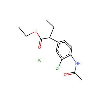 CCOC(=O)C(CC)c1ccc(NC(C)=O)c(Cl)c1.Cl